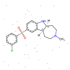 CN1CC[C@@H]2Nc3ccc(S(=O)(=O)c4cccc(F)c4)cc3[C@@H]2CC1